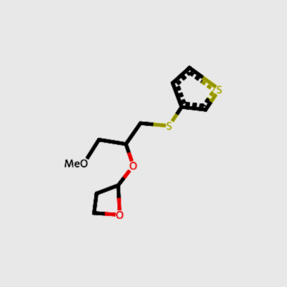 COCC(CSc1ccsc1)OC1CCO1